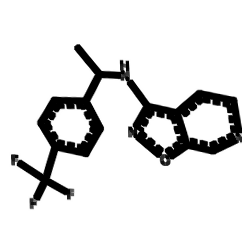 CC(Nc1noc2cnccc12)c1ccc(C(F)(F)F)cc1